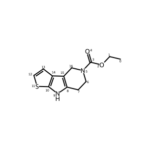 CCOC(=O)N1CCc2[nH]c3sccc3c2C1